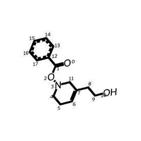 O=C(ON1CCC=C(CCO)C1)c1ccccc1